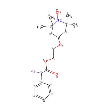 CC1(C)CC(OCCOC(=O)C(I)c2ccccc2)CC(C)(C)N1O